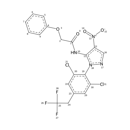 O=C(COc1ccccc1)Nc1c([N+](=O)[O-])cnn1-c1c(Cl)cc(CC(F)(F)F)cc1Cl